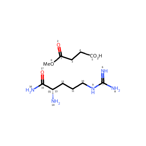 COC(=O)CCC(=O)O.N=C(N)NCCC[C@H](N)C(N)=O